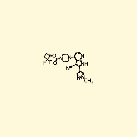 Cn1cc(-c2[nH]c3nccc(N4CCN(C(=O)O[C@@H]5CCC5(F)F)CC4)c3c2C#N)cn1